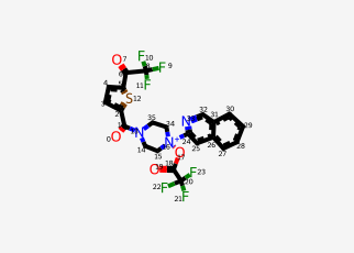 O=C(c1ccc(C(=O)C(F)(F)F)s1)N1CC[N+](OC(=O)C(F)(F)F)(c2cc3ccccc3cn2)CC1